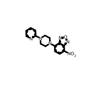 O=[N+]([O-])c1ccc(N2CCN(c3ccccn3)CC2)c2nonc12